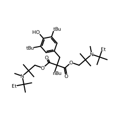 CCCCC(Cc1cc(C(C)(C)C)c(O)c(C(C)(C)C)c1)(C(=O)OCC(C)(C)N(C)C(C)(C)CC)C(=O)OCC(C)(C)N(C)C(C)(C)CC